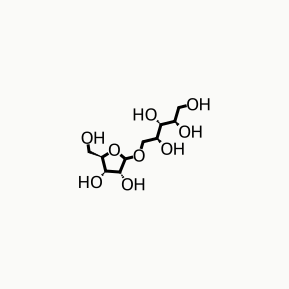 OC[C@@H](O)[C@@H](O)[C@@H](O)COC1O[C@H](CO)[C@@H](O)[C@H]1O